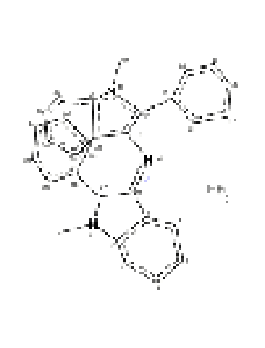 Br.CN1c2ccccc2/C(=N/c2c(-c3ccccc3)n(C)c3ccccc23)C1c1ccccc1